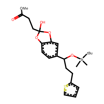 COC(=O)CCC1(O)Oc2ccc(C(CCc3cccs3)O[Si](C)(C)C(C)(C)C)cc2O1